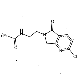 CCCC(=O)NCCN1Cc2nc(Cl)ccc2C1=O